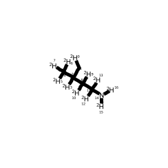 [2H]CC([2H])(C([2H])([2H])[2H])C([2H])([2H])C([2H])([2H])N([2H])[2H]